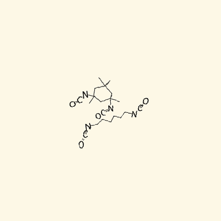 CC1(C)CC(C)(N=C=O)CC(C)(N=C=O)C1.O=C=NCCCCCCN=C=O